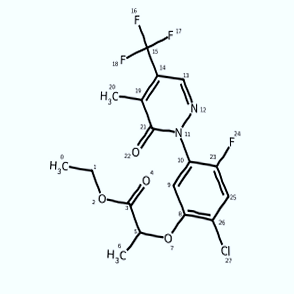 CCOC(=O)C(C)Oc1cc(-n2ncc(C(F)(F)F)c(C)c2=O)c(F)cc1Cl